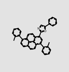 Cc1ccccc1-c1ccc2ccc3c(-c4ccccc4C)cc(-c4ncc(-c5ccccc5)o4)c4ccc1c2c43